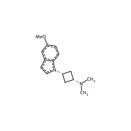 COc1ccc2c(ccn2[C@H]2C[C@@H](N(C)C)C2)c1